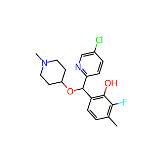 Cc1ccc(C(OC2CCN(C)CC2)c2ccc(Cl)cn2)c(O)c1F